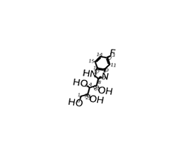 OC[C@@H](O)C(O)[C@@H](O)c1nc2cc(F)ccc2[nH]1